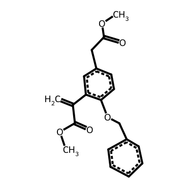 C=C(C(=O)OC)c1cc(CC(=O)OC)ccc1OCc1ccccc1